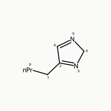 [CH2]CCCC1=NCN=C1